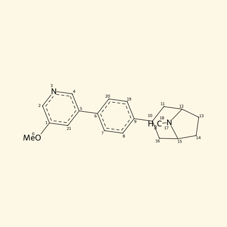 COc1cncc(-c2ccc(C3CC4CCC(C3)N4C)cc2)c1